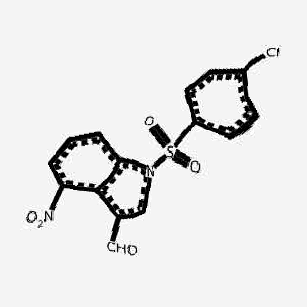 O=Cc1cn(S(=O)(=O)c2ccc(Cl)cc2)c2cccc([N+](=O)[O-])c12